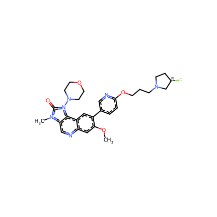 COc1cc2ncc3c(c2cc1-c1ccc(OCCCN2CC[C@@H](F)C2)nc1)n(N1CCOCC1)c(=O)n3C